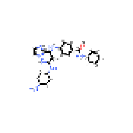 Cc1c(NC2CCC(N)CC2)nn2ccnc2c1Nc1ccc(C(=O)Nc2ccccc2)cc1